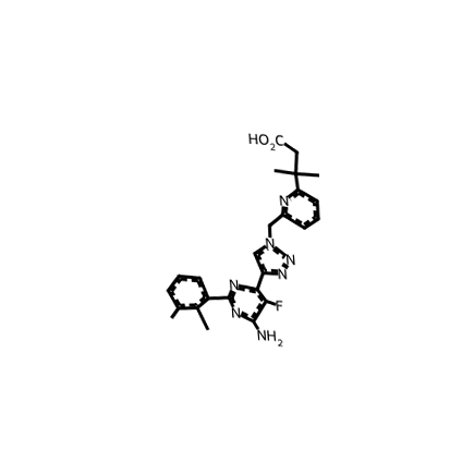 Cc1cccc(-c2nc(N)c(F)c(-c3cn(Cc4cccc(C(C)(C)CC(=O)O)n4)nn3)n2)c1C